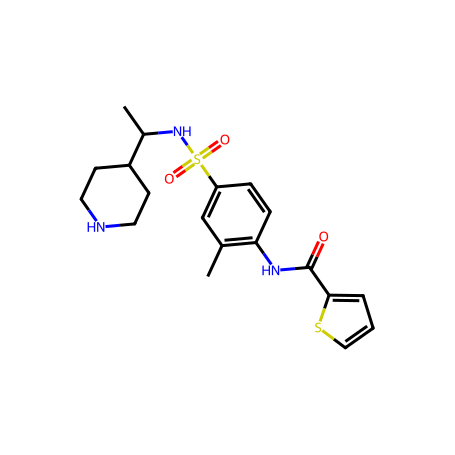 Cc1cc(S(=O)(=O)NC(C)C2CCNCC2)ccc1NC(=O)c1cccs1